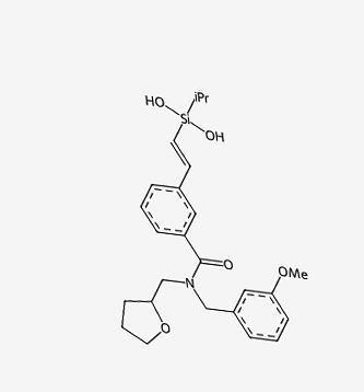 COc1cccc(CN(CC2CCCO2)C(=O)c2cccc(C=C[Si](O)(O)C(C)C)c2)c1